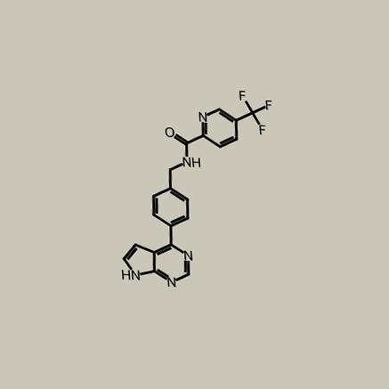 O=C(NCc1ccc(-c2ncnc3[nH]ccc23)cc1)c1ccc(C(F)(F)F)cn1